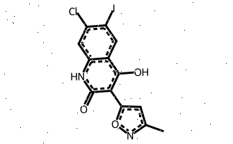 Cc1cc(-c2c(O)c3cc(I)c(Cl)cc3[nH]c2=O)on1